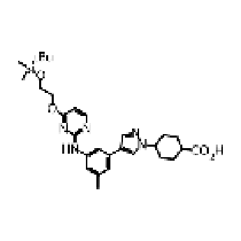 Cc1cc(Nc2nccc(OCCO[Si](C)(C)C(C)(C)C)n2)cc(-c2cnn(C3CCC(C(=O)O)CC3)c2)c1